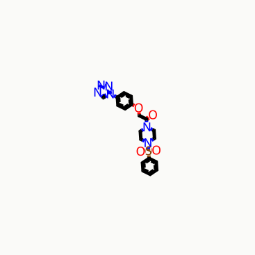 O=C(COc1ccc(-n2cnnn2)cc1)N1CCN(S(=O)(=O)c2ccccc2)CC1